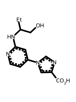 CCC(CO)Nc1cc(-n2cnc(C(=O)O)c2)ccn1